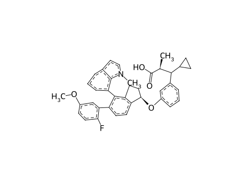 COc1ccc(F)c(-c2ccc3c(c2-c2cccc4ccn(C)c24)CC[C@H]3Oc2cccc(C(C3CC3)[C@H](C)C(=O)O)c2)c1